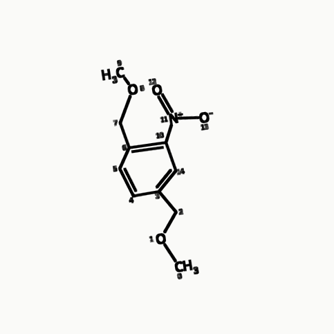 COCc1ccc(COC)c([N+](=O)[O-])c1